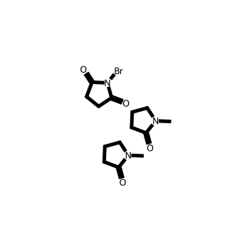 CN1CCCC1=O.CN1CCCC1=O.O=C1CCC(=O)N1Br